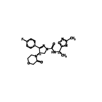 Cc1noc([C@@H](C)NC(=O)N2C[C@@H](N3CCOCC3=O)C(c3ccc(F)cc3)=N2)n1